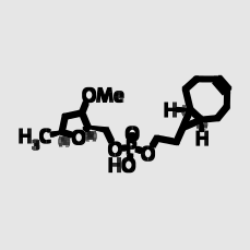 COC1C[C@H](C)O[C@@H]1COP(=O)(O)OCCC1[C@H]2CCC#CCC[C@@H]12